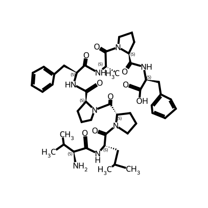 CC(C)C[C@H](NC(=O)[C@@H](N)C(C)C)C(=O)N1CCC[C@H]1C(=O)N1CCC[C@H]1C(=O)N[C@@H](Cc1ccccc1)C(=O)N[C@@H](C)C(=O)N1CCC[C@H]1C(=O)N[C@@H](Cc1ccccc1)C(=O)O